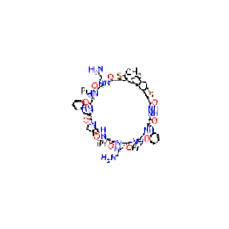 Cc1sc2cc1C1=C3c4cc(sc4CC3CC1)C(=O)NNC(=O)[C@@H](Cc1ccccc1)NC(=O)[C@H](CC(C)C)NC(=O)[C@H](CCCN)NC(=O)[C@H](C(C)C)NC(=O)[C@@H]1CCCN1C(=O)[C@@H](Cc1ccccc1)NC(=O)[C@H](CC(C)C)NC(=O)[C@H](CCCN)NC2=O